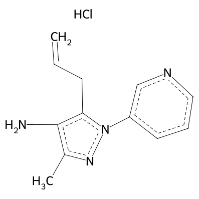 C=CCc1c(N)c(C)nn1-c1cccnc1.Cl